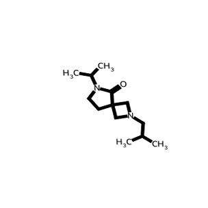 CC(C)CN1CC2(CCN(C(C)C)C2=O)C1